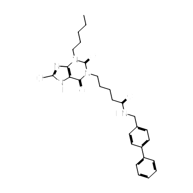 CCCCCn1c(=O)n(CCCCC(=O)NCc2ccc(-c3ccccc3)cc2)c(=O)c2[nH]c(Cl)nc21